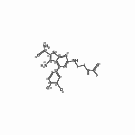 CC(=O)NCCNc1nc(-c2ccc(Cl)c(Cl)c2)c2c(N)c(C(N)=O)sc2n1